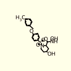 Cc1ccc(COc2ccc(S(=O)(=O)N3CCC(O)CC3C(=O)NO)cc2)cc1